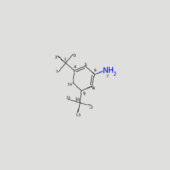 CC(C)(C)C1=CC(N)=CC(C(C)(C)C)C1